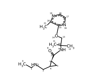 CCNCC1C[C@@H]1C(=O)NC(C)(C)COc1nccnc1C